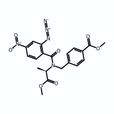 COC(=O)c1ccc(CN(C(=O)c2ccc([N+](=O)[O-])cc2N=[N+]=[N-])[C@H](C)C(=O)OC)cc1